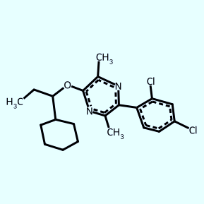 CCC(Oc1nc(C)c(-c2ccc(Cl)cc2Cl)nc1C)C1CCCCC1